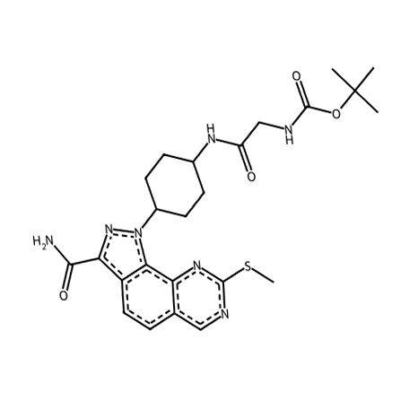 CSc1ncc2ccc3c(C(N)=O)nn(C4CCC(NC(=O)CNC(=O)OC(C)(C)C)CC4)c3c2n1